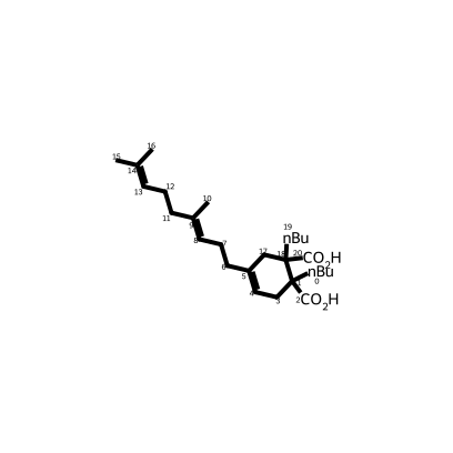 CCCCC1(C(=O)O)CC=C(CC/C=C(\C)CCC=C(C)C)CC1(CCCC)C(=O)O